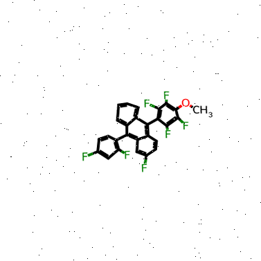 COc1c(F)c(F)c(-c2c3ccccc3c(-c3ccc(F)cc3F)c3cc(F)ccc23)c(F)c1F